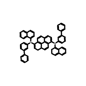 C1=CC2CC=C(N(c3cccc(-c4ccccc4)c3)c3cccc4ccccc34)c3ccc4ccc(N(C5=c6ccccc6=CCC5)c5cccc(-c6ccccc6)c5)c1c4c32